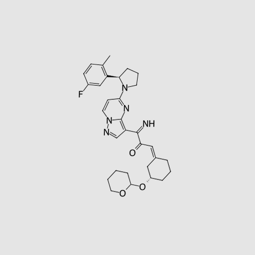 Cc1ccc(F)cc1[C@H]1CCCN1c1ccn2ncc(C(=N)C(=O)/C=C3/CCC[C@H](OC4CCCCO4)C3)c2n1